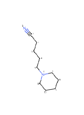 N#CCCCCN1CCCCC1